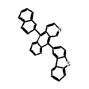 c1ccc2cc(-c3c4ccccc4c(-c4ccc5sc6ccccc6c5c4)c4cnccc34)ccc2c1